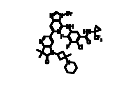 CC(C)n1cnc2cc(-c3cnc4c(c3)N(C3CC(C)(N5CCCCC5)C3)C(=O)C4(C)C)nc(Nc3cc(C(=O)NC4(C(F)(F)F)CC4)c(Cl)c(F)c3F)c21